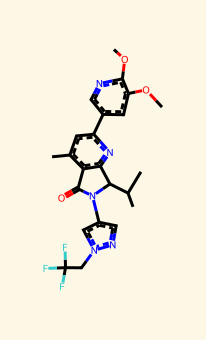 COc1cc(-c2cc(C)c3c(n2)C(C(C)C)N(c2cnn(CC(F)(F)F)c2)C3=O)cnc1OC